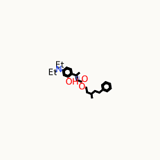 CCN(CC)c1ccc(/C(C)=C/C(=O)OCCC(C)CCc2ccccc2)c(O)c1